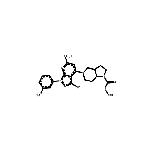 Cc1cccc(-n2nc(C(C)C)c3c(N4CCC5C(CCN5C(=O)OC(C)(C)C)C4)cc(C(=O)O)nc32)c1